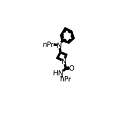 CCCNC(=O)N1CC(N(CCC)c2ccccc2)C1